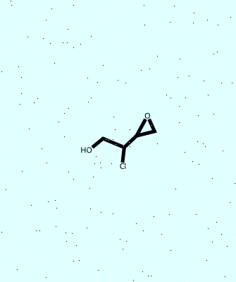 OCC(Cl)C1CO1